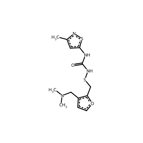 Cc1cc(NC(=O)NSCc2occc2CN(C)C)sn1